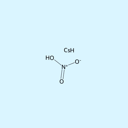 O=[N+]([O-])O.[CsH]